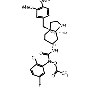 COc1ccc(C[C@@]23CCN[C@H]2C[C@H](NC(=O)N(OC(=O)C(F)(F)F)c2cc(F)ccc2Cl)CC3)cc1OC